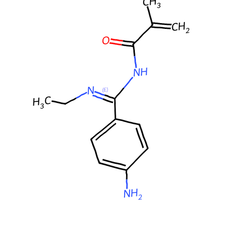 C=C(C)C(=O)N/C(=N/CC)c1ccc(N)cc1